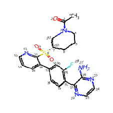 CC(=O)N1CCC[C@H](S(=O)(=O)c2ncccc2-c2ccc(-c3nccnc3N)c(F)c2)C1